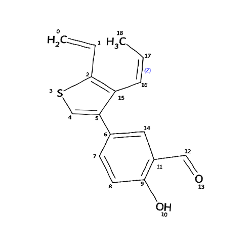 C=Cc1scc(-c2ccc(O)c(C=O)c2)c1/C=C\C